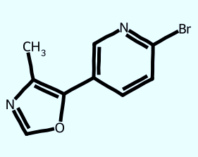 Cc1ncoc1-c1ccc(Br)nc1